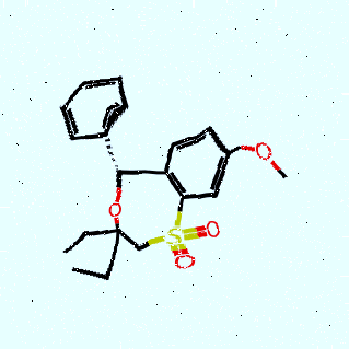 CCC1(CC)CS(=O)(=O)c2cc(OC)ccc2[C@@H](c2ccccc2)O1